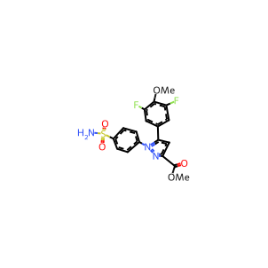 COC(=O)c1cc(-c2cc(F)c(OC)c(F)c2)n(-c2ccc(S(N)(=O)=O)cc2)n1